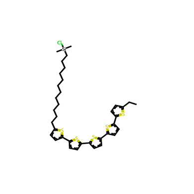 CCc1ccc(-c2ccc(-c3ccc(-c4ccc(-c5ccc(CCCCCCCCCCCC[Si](C)(C)Cl)s5)s4)s3)s2)s1